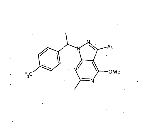 COc1nc(C)nc2c1c(C(C)=O)nn2C(C)c1ccc(C(F)(F)F)cc1